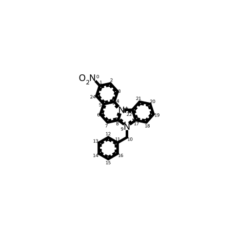 O=[N+]([O-])c1ccc2c(ccc3n(Cc4ccccc4)c4ccccc4[n+]23)c1